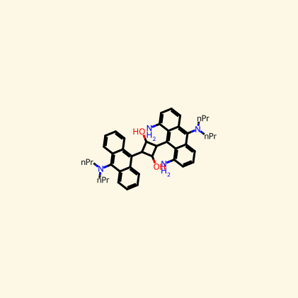 CCCN(CCC)c1c2ccccc2c(C2C(O)C(c3c4c(N)cccc4c(N(CCC)CCC)c4cccc(N)c34)C2O)c2ccccc12